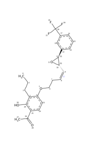 CCCc1c(OCC/C=C\[C@@H]2O[C@H]2c2cccc(C(F)(F)F)c2)ccc(C(C)=O)c1O